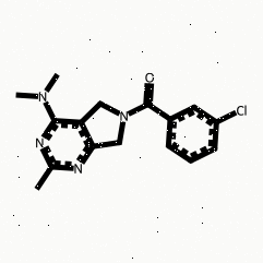 Cc1nc2c(c(N(C)C)n1)CN(C(=O)c1cccc(Cl)c1)C2